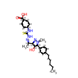 CCCCCCc1ccc(-c2c(O)c(/C(C)=N\NC(=S)Nc3ccc(C(=O)O)cc3)nn2C)cc1